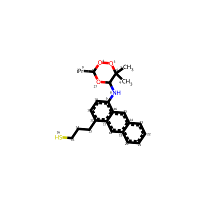 CC(C)C1OOC(C)(C)C(Nc2ccc(CCCS)c3cc4ccccc4cc23)O1